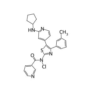 Cc1cccc(-c2nc(N(Cl)C(=O)c3cccnc3)sc2-c2ccnc(NC3CCCC3)c2)c1